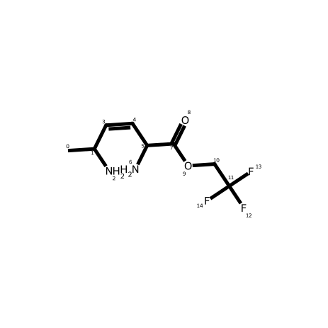 CC(N)/C=C\C(N)C(=O)OCC(F)(F)F